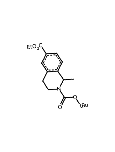 CCOC(=O)c1ccc2c(c1)CCN(C(=O)OC(C)(C)C)C2C